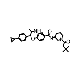 CC(N)[C@H](Oc1ccc(C(=O)/N=C2\CCCN(C(=O)CC(C)(C)C)C2)cc1)c1ccc(C2CC2)cc1